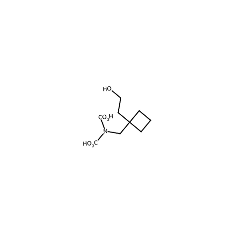 O=C(O)N(CC1(CCO)CCC1)C(=O)O